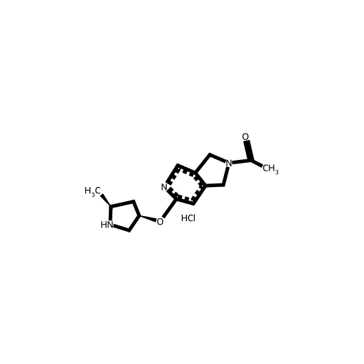 CC(=O)N1Cc2cnc(O[C@H]3CN[C@@H](C)C3)cc2C1.Cl